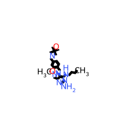 CCCCNc1nc(N)nc2cnn(Cc3ccc(CN4CC5(COC5)C4)cc3OC)c12